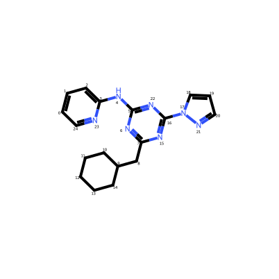 c1ccc(Nc2nc(CC3CCCCC3)nc(-n3cccn3)n2)nc1